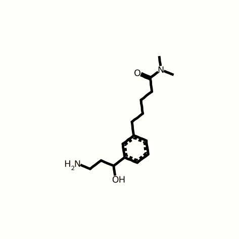 CN(C)C(=O)CCCCc1cccc(C(O)CCN)c1